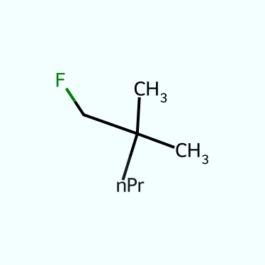 CCCC(C)(C)CF